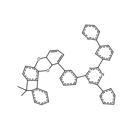 CC1(C)c2ccccc2-c2c1ccc1c2OC2C(c3cccc(-c4nc(-c5ccccc5)nc(-c5cccc(-c6ccccn6)c5)n4)c3)=CC=CC2O1